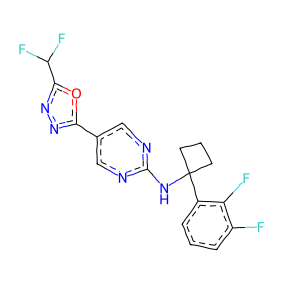 Fc1cccc(C2(Nc3ncc(-c4nnc(C(F)F)o4)cn3)CCC2)c1F